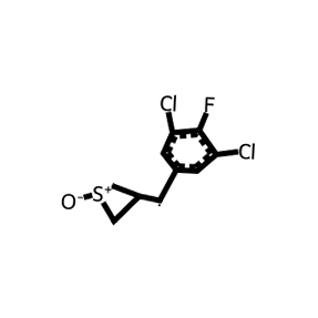 [O-][S+]1CC([CH]c2cc(Cl)c(F)c(Cl)c2)C1